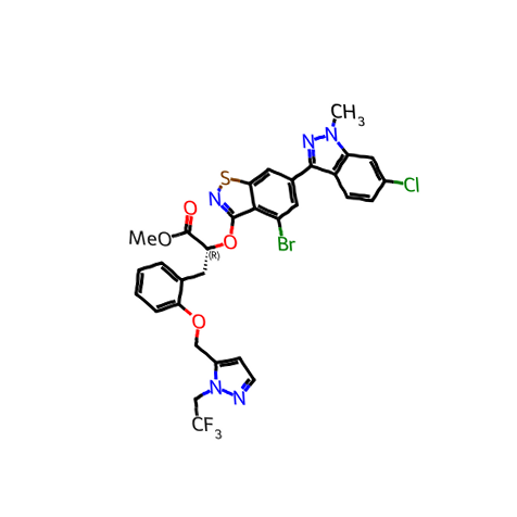 COC(=O)[C@@H](Cc1ccccc1OCc1ccnn1CC(F)(F)F)Oc1nsc2cc(-c3nn(C)c4cc(Cl)ccc34)cc(Br)c12